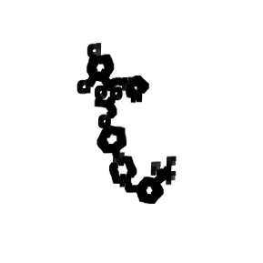 FC(F)(F)c1cccc(CN2CCN(c3ccc(OCC4COC(Cn5ccnc5)(c5ccc(Cl)cc5Cl)O4)cc3)CC2)c1